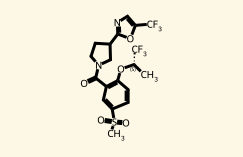 C[C@H](Oc1ccc(S(C)(=O)=O)cc1C(=O)N1CCC(c2ncc(C(F)(F)F)o2)C1)C(F)(F)F